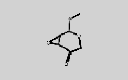 COC1OCC(=O)C2OC12